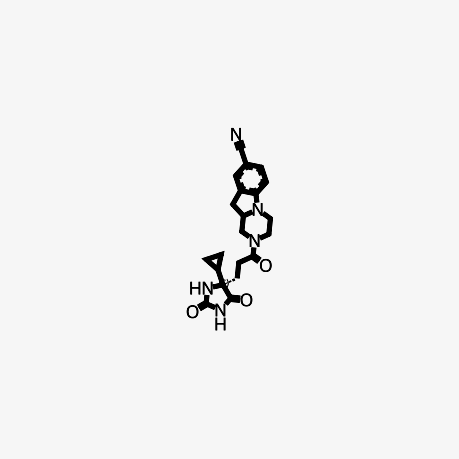 N#Cc1ccc2c(c1)CC1CN(C(=O)CC[C@@]3(C4CC4)NC(=O)NC3=O)CCN21